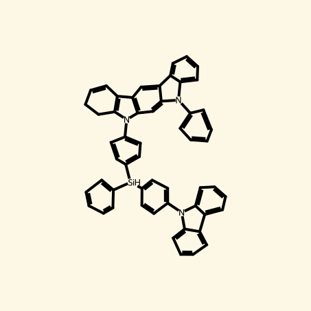 C1=Cc2c(n(-c3ccc([SiH](c4ccccc4)c4ccc(-n5c6ccccc6c6ccccc65)cc4)cc3)c3cc4c(cc23)c2ccccc2n4-c2ccccc2)CC1